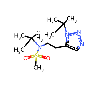 CC(C)(C)N(CCc1cnnn1C(C)(C)C)S(C)(=O)=O